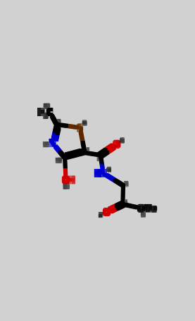 COC(=O)CNC(=O)c1sc(C)nc1O